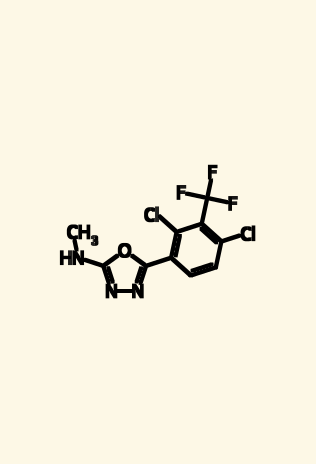 CNc1nnc(-c2ccc(Cl)c(C(F)(F)F)c2Cl)o1